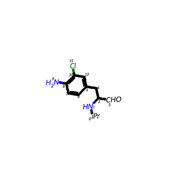 CC(C)NC(C=O)Cc1ccc(N)c(Cl)c1